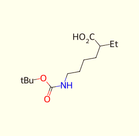 CCC(CCCCNC(=O)OC(C)(C)C)C(=O)O